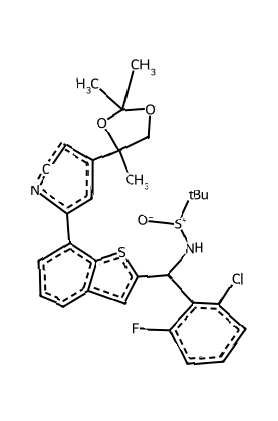 CC1(C)OCC(C)(c2ccnc(-c3cccc4cc(C(N[S+]([O-])C(C)(C)C)c5c(F)cccc5Cl)sc34)c2)O1